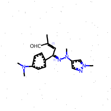 C/C(C=O)=C/C(=N\N(C)c1cnn(C)c1)c1ccc(N(C)C)cc1